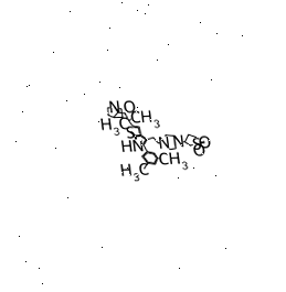 Cc1cc(C)cc(-c2[nH]c3sc(C(C)(C)C(=O)C4C5CCN4CC5)cc3c2CCN2CCN(C3CCS(=O)(=O)C3)CC2)c1